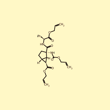 C=CCOC(=O)N[C@@]1(C(=O)N[C@H](C(=O)OCC=C)C(C)C)CC[C@H]2[C@H](C(=O)OCC=C)[C@H]21